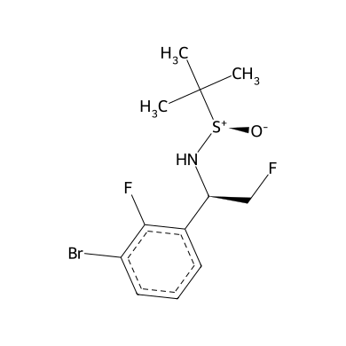 CC(C)(C)[S@@+]([O-])N[C@@H](CF)c1cccc(Br)c1F